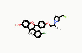 CC1=C(c2cccc(Cl)c2)C(c2ccc(OCC(C)N3CCC(CF)C3)cc2)Oc2ccc(O)cc21